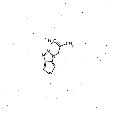 C=C(C)Cn1nnc2ccccc21